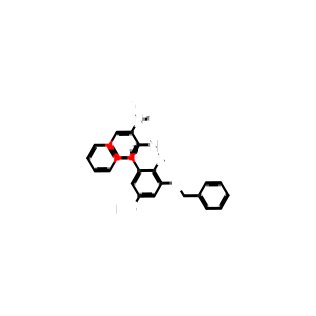 O=C(c1ccccc1)c1cc(O)cc(OCc2ccccc2)c1/N=N\c1ccccc1[N+](=O)[O-]